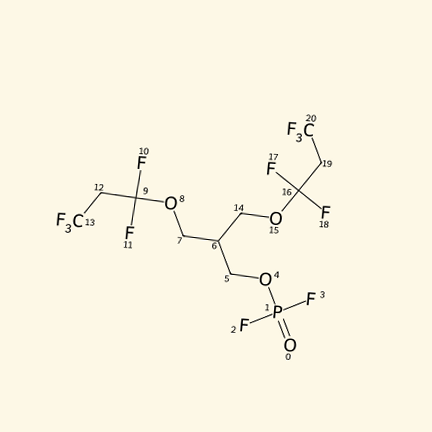 O=P(F)(F)OCC(COC(F)(F)CC(F)(F)F)COC(F)(F)CC(F)(F)F